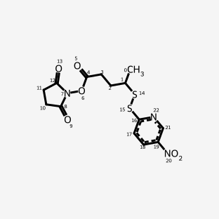 CC(CCC(=O)ON1C(=O)CCC1=O)SSc1ccc([N+](=O)[O-])cn1